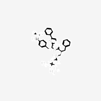 CC(C)(C)OC(=O)NC[C@H](Cc1ccccc1)C(=O)N[C@@H](Cc1ccc(N[SH](=O)=O)cc1)c1nc(-c2ccccc2)cs1